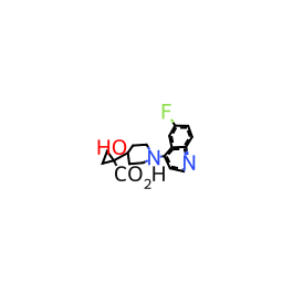 O=C(O)C1(C2(O)CCN(c3ccnc4ccc(F)cc34)CC2)CC1